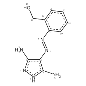 Nc1n[nH]c(N)c1N=Nc1ccccc1CO